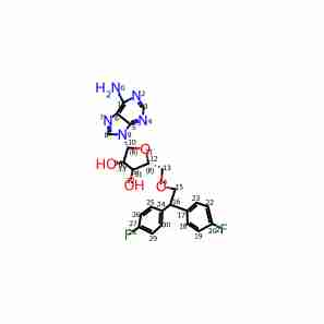 Nc1ncnc2c1ncn2[C@@H]1O[C@H](COCC(c2ccc(F)cc2)c2ccc(F)cc2)[C@@H](O)[C@H]1O